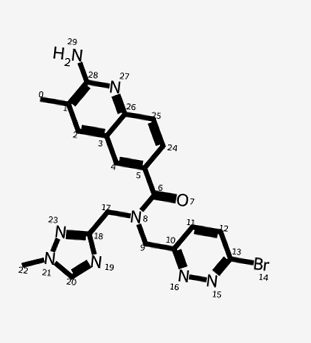 Cc1cc2cc(C(=O)N(Cc3ccc(Br)nn3)Cc3ncn(C)n3)ccc2nc1N